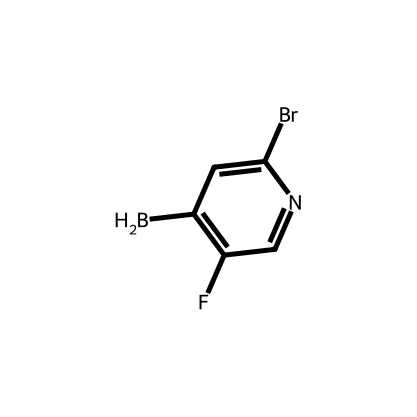 Bc1cc(Br)ncc1F